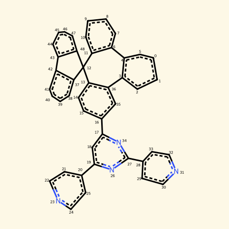 c1ccc2c(c1)-c1ccccc1C1(c3ccc(-c4cc(-c5ccncc5)nc(-c5ccncc5)n4)cc3-2)c2ccccc2-c2ccccc21